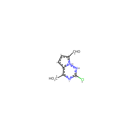 O=Cc1ccc2c(C(=O)O)nc(Cl)nn12